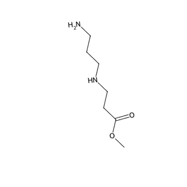 COC(=O)CCNCCCN